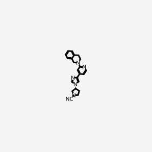 N#CN1CC[C@@H](n2cnc(-c3ccnc(N4CCc5ccccc5C4)c3)c2)C1